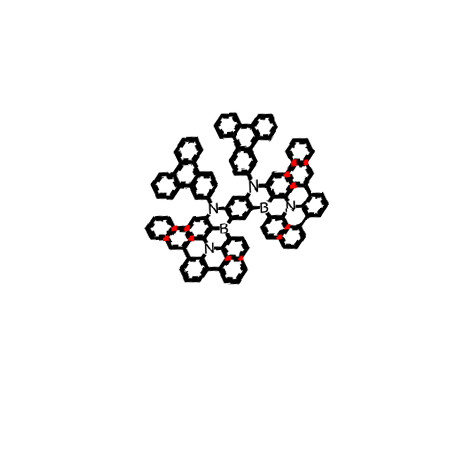 c1ccc(-c2cc3c4c(c2)N(c2c(-c5ccccc5)cccc2-c2ccccc2)c2ccccc2B4c2cc4c(cc2N3c2ccc3c5ccccc5c5ccccc5c3c2)N(c2ccc3c5ccccc5c5ccccc5c3c2)c2cc(-c3ccccc3)cc3c2B4c2ccccc2N3c2c(-c3ccccc3)cccc2-c2ccccc2)cc1